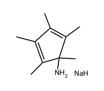 CC1=C(C)C(C)(N)C(C)=C1C.[NaH]